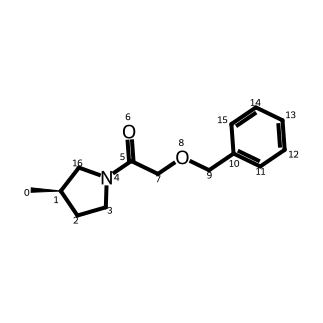 C[C@@H]1CCN(C(=O)COCc2ccccc2)C1